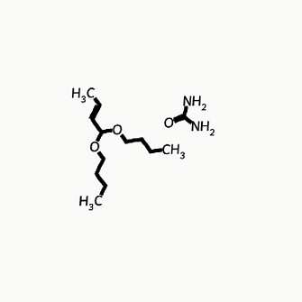 CC=CC(OCCCC)OCCCC.NC(N)=O